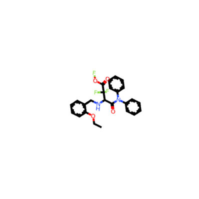 CCOc1ccccc1CNC(C(=O)N(c1ccccc1)c1ccccc1)C(F)(F)C(=O)OF